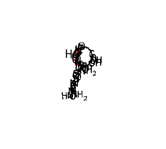 CCNC(=O)c1cnc(N2CCN(c3ncc4c(n3)CCN(C(=O)O[C@@H]3CC[C@@H](C[C@@H](N)[C@@H]5CC(=O)[C@H](C)/C=C(\C)[C@@H](O)[C@@H](O)C(=O)[C@H](C)C[C@H](C)/C=C/C=C/C=C(\C)[C@@H](OC)C[C@@H]6CC[C@@H](C)[C@@](O)(O6)C(=O)C(=O)N6CCCC[C@H]6C(=O)O5)C[C@H]3OC)C4)CC2)nc1N